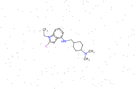 CN(C)C1CCC(CNc2cccc3c2cc(I)n3CC(F)(F)F)CC1